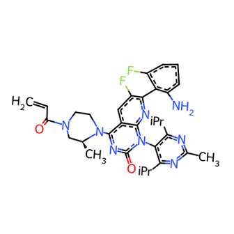 C=CC(=O)N1CCN(c2nc(=O)n(-c3c(C(C)C)nc(C)nc3C(C)C)c3nc(-c4c(N)cccc4F)c(F)cc23)[C@@H](C)C1